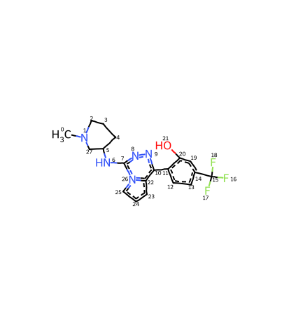 CN1CCCC(Nc2nnc(-c3ccc(C(F)(F)F)cc3O)c3cccn23)C1